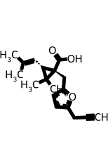 C#CCc1ccc(C[C@]2(C(=O)O)[C@@H](C=C(C)C)C2(C)C)o1